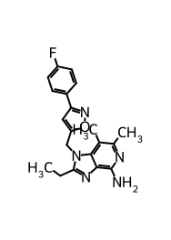 CCc1nc2c(N)nc(C)c(C)c2n1Cc1cc(-c2ccc(F)cc2)no1